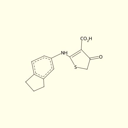 O=C(O)C1=C(Nc2ccc3c(c2)CCC3)SCC1=O